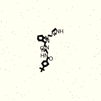 CC(C)(C)c1ccc(C(=O)NCc2noc(-c3nn(CCN4C=CNC4)c4ccccc34)n2)cc1